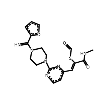 CNC(=O)/C(=C/c1ccnc(N2CCN(C(=N)c3ccco3)CC2)n1)SC=O